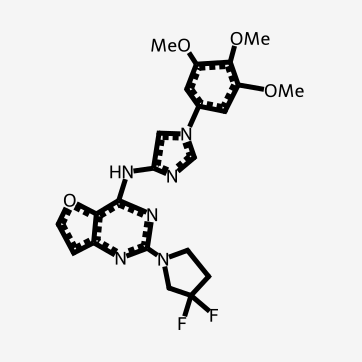 COc1cc(-n2cnc(Nc3nc(N4CCC(F)(F)C4)nc4ccoc34)c2)cc(OC)c1OC